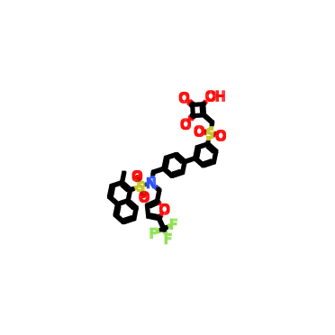 Cc1ccc2ccccc2c1S(=O)(=O)N(Cc1ccc(-c2cccc(S(=O)(=O)Cc3c(O)c(=O)c3=O)c2)cc1)Cc1ccc(C(F)(F)F)o1